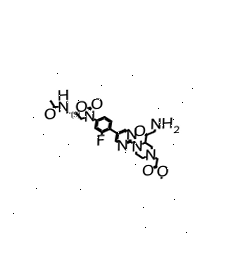 COC(=O)CN1CCN(c2ncc(-c3ccc(N4C[C@H](CNC(C)=O)OC4=O)cc3F)cn2)C(C(=O)CN)C1